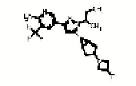 CCC(C)n1nc(-c2cnc(N)c(C(F)(F)F)c2)cc1[C@@H]1C2=CC(N3CC(F)C3)CC21